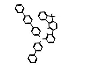 CC1(C)c2ccccc2-c2c1ccc1c2oc2c(N(c3ccc(-c4ccccc4)cc3)c3ccc(-c4ccc(-c5ccccc5)cc4)cc3)cccc21